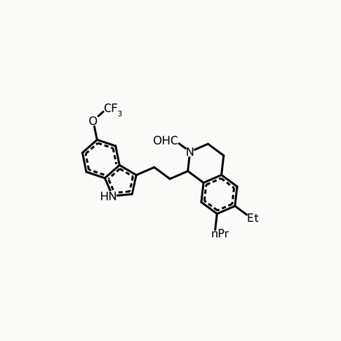 CCCc1cc2c(cc1CC)CCN(C=O)C2CCc1c[nH]c2ccc(OC(F)(F)F)cc12